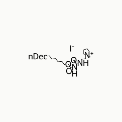 CCCCCCCCCCCCCCCCOC(=O)NC(=O)NCC[N+]1(C)CCCC1.[I-]